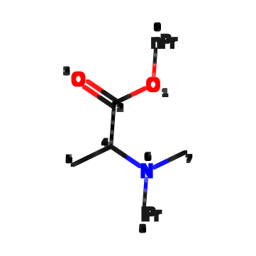 CCCOC(=O)C(C)N(C)C(C)C